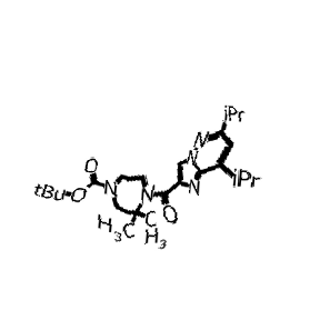 CC(C)c1cc(C(C)C)c2nc(C(=O)N3CCN(C(=O)OC(C)(C)C)CC3(C)C)cn2n1